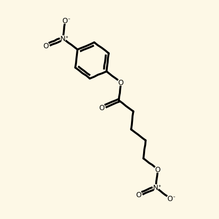 O=C(CCCCO[N+](=O)[O-])Oc1ccc([N+](=O)[O-])cc1